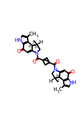 Cc1c[nH]c2c1[C@@]13C[C@@H]1CN(C(=O)C14CC(C(=O)N5C[C@H]6C[C@@]67C5=CC(=O)c5[nH]cc(C)c57)(C1)C4)C3=CC2=O